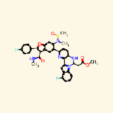 CNC(=O)c1c(-c2ccc(F)cc2)oc2cc(N(C)[S+](C)[O-])c(-c3ccc4c(n3)-c3cc5c(F)cccc5n3C(CC(=O)OC)N4)cc12